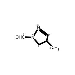 CC1C=NN(C=O)C1